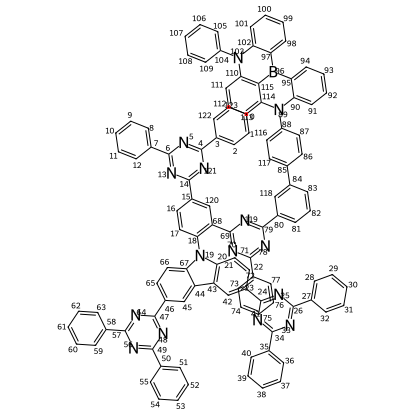 c1ccc(-c2nc(-c3ccccc3)nc(-c3ccc(-n4c5ccc(-c6nc(-c7ccccc7)nc(-c7ccccc7)n6)cc5c5cc(-c6nc(-c7ccccc7)nc(-c7ccccc7)n6)ccc54)c(-c4nc(-c5ccccc5)nc(-c5cccc(-c6ccc(N7c8ccccc8B8c9ccccc9N(c9ccccc9)c9cccc7c98)cc6)c5)n4)c3)n2)cc1